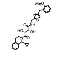 COc1ccccc1Cc1coc(CNC(=O)[C@H](O)[C@@H](O)C(=O)N2CCc3ccccc3C2C2CC2)n1